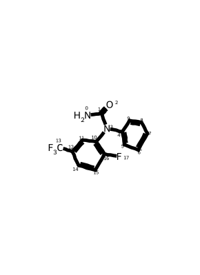 NC(=O)N(c1c[c]ccc1)c1cc(C(F)(F)F)ccc1F